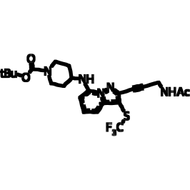 CC(=O)NCC#Cc1nn2c(NC3CCN(C(=O)OC(C)(C)C)CC3)cccc2c1SC(F)(F)F